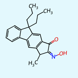 CCCC1(CCC)c2ccccc2-c2cc3c(cc21)C(=O)C(=NO)C3C